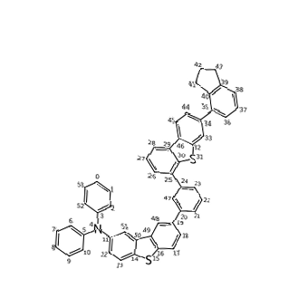 c1ccc(N(c2ccccc2)c2ccc3sc4ccc(-c5cccc(-c6cccc7c6sc6cc(-c8cccc9c8CCC9)ccc67)c5)cc4c3c2)cc1